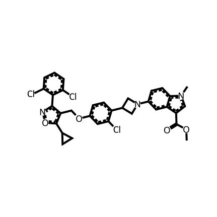 COC(=O)c1cn(C)c2ccc(N3CC(c4ccc(OCc5c(-c6c(Cl)cccc6Cl)noc5C5CC5)cc4Cl)C3)cc12